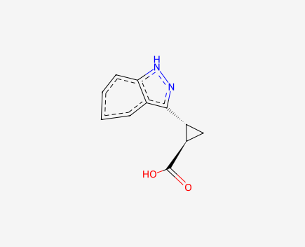 O=C(O)[C@@H]1C[C@H]1c1n[nH]c2ccccc12